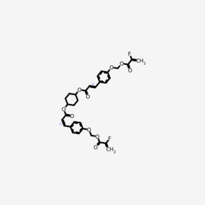 C=C(F)C(=O)OCOc1ccc(/C=C\C(=O)OC2CCC(OC(=O)/C=C/c3ccc(OCOC(=O)C(=C)F)cc3)CC2)cc1